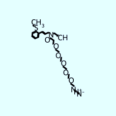 C#CCN(C/C=C/c1ccccc1SCC)C(=O)CCOCCOCCOCCOCCOCCN=[N+]=[N-]